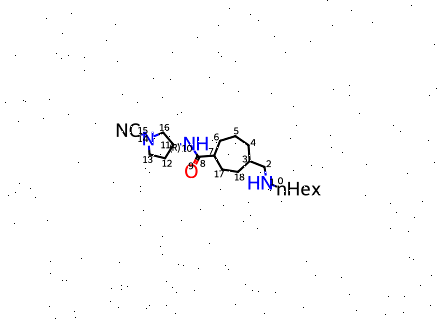 CCCCCCNCC1CCCC(C(=O)N[C@@H]2CCN(C#N)C2)CC1